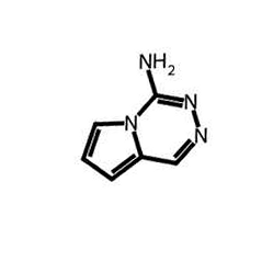 Nc1nncc2cccn12